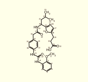 COc1ccccc1NC(=O)Nc1ccc(CC(=O)NC(CC(C)C)c2ncc(CCC(=O)O)o2)cc1